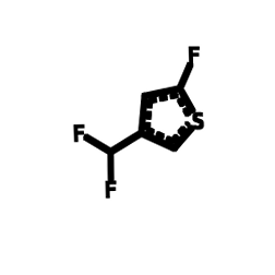 Fc1cc(C(F)F)cs1